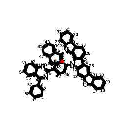 c1ccc(-c2nc(-c3ccc(-n4c5cc6oc7ccccc7c6cc5c5ccc6c7ccccc7n(-c7cccc8ccccc78)c6c54)cc3)nc3ccccc23)cc1